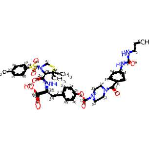 CCCNC(=O)Nc1ccc(C(=O)N2CCN(C(=O)Oc3ccc(C[C@H](NC(=O)[C@H]4N(S(=O)(=O)c5ccc(C)cc5)CSC4(C)C)C(=O)O)cc3)CC2)cc1